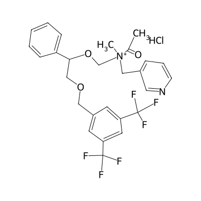 CC(=O)[N+](C)(COC(COCc1cc(C(F)(F)F)cc(C(F)(F)F)c1)c1ccccc1)Cc1cccnc1.Cl